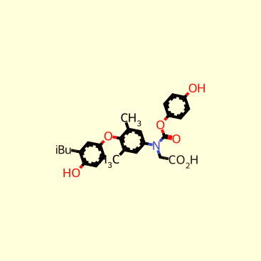 CCC(C)c1cc(Oc2c(C)cc(N(CC(=O)O)C(=O)Oc3ccc(O)cc3)cc2C)ccc1O